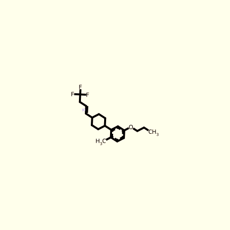 CCCOc1ccc(C)c(C2CCC(/C=C/CC(F)(F)F)CC2)c1